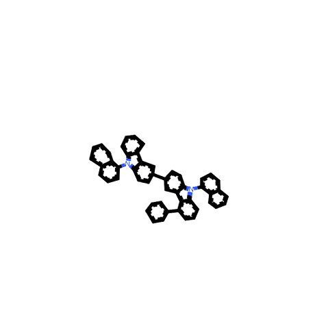 c1ccc(-c2cccc3c2c2cc(-c4ccc5c(c4)c4ccccc4n5-c4cccc5ccccc45)ccc2n3-c2cccc3ccccc23)cc1